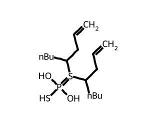 C=CCC(CCCC)S(C(CC=C)CCCC)=P(O)(O)S